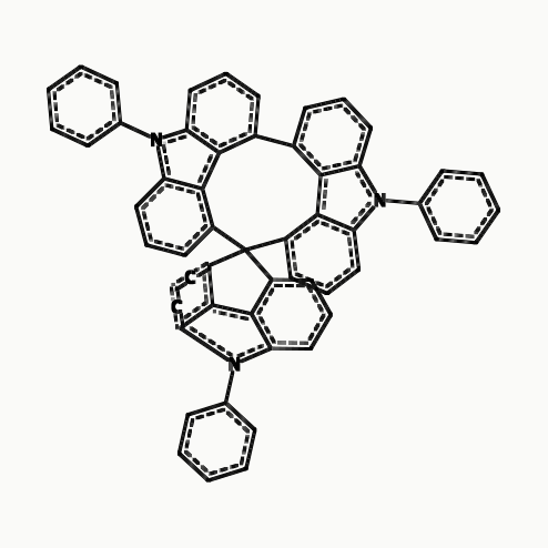 c1ccc(-n2c3cccc4c3c3c(cccc32)C2(c3cccc5c3c3c-4cccc3n5-c3ccccc3)c3cccc4c3c3c2cccc3n4-c2ccccc2)cc1